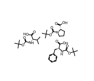 CC(C)(C)OC(=O)N1CCC[C@H]1C(=O)O.CC(C)(C)OC(=O)N[C@@H](Cc1ccccc1)C(=O)O.CC(C)[C@H](NC(=O)OC(C)(C)C)C(=O)O